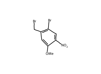 COc1cc(CBr)c(Br)cc1[N+](=O)[O-]